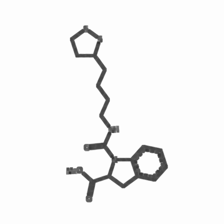 COC(=O)C1Cc2ccccc2N1C(=O)NCCCCC1CCSS1